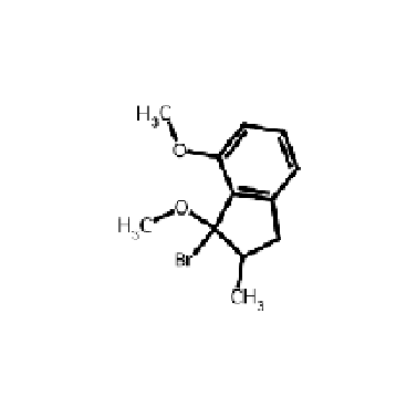 COc1cccc2c1C(Br)(OC)C(C)C2